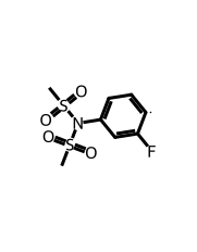 CS(=O)(=O)N(c1cc[c]c(F)c1)S(C)(=O)=O